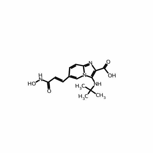 CC(C)(C)Nc1c(C(=O)O)nc2ccc(C=CC(=O)NO)cn12